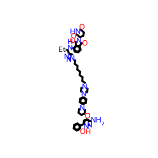 CCC(Nc1cccc2c1C(=O)N(C1CCC(=O)NC1=O)C2=O)c1cn(CCCCCCCCCN2CCN(c3ccc(N4CCCC(Oc5cc(-c6ccccc6O)nnc5N)C4)cc3)CC2)nn1